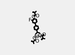 C=C(C)C(=O)OCC(CNOC(=O)C(=C)C)c1ccc(-c2ccc(OC(=O)C(=C)C)c(F)c2)cc1